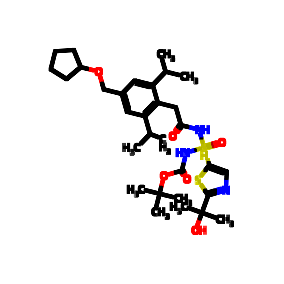 CC(C)c1cc(COC2CCCC2)cc(C(C)C)c1CC(=O)N[SH](=O)(NC(=O)OC(C)(C)C)c1cnc(C(C)(C)O)s1